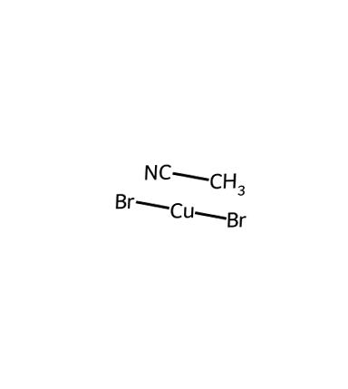 CC#N.[Br][Cu][Br]